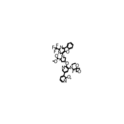 COC(=O)[C@@H]1C[C@H](Oc2ncc(-c3cccnc3OC)cc2N2CCOC3(COC3)[C@H]2C)CN1c1nc(C(F)(F)F)nc2c1oc1ccccc12